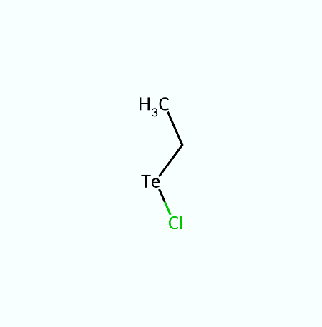 CC[Te]Cl